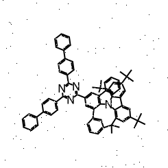 CC(C)(C)c1cc(C(C)(C)C)c2c(c1)c1cc(C(C)(C)C)cc3c1n2-c1c(-c2ccccc2)cc(-c2nc(-c4ccc(-c5ccccc5)cc4)nc(-c4ccc(-c5ccccc5)cc4)n2)cc1-c1cccc(c1)C3(C)C